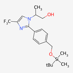 CC(CO)n1cc(C(F)(F)F)nc1-c1ccc(CO[Si](C)(C)C(C)(C)C)cc1